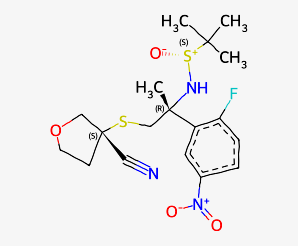 CC(C)(C)[S@@+]([O-])N[C@@](C)(CS[C@]1(C#N)CCOC1)c1cc([N+](=O)[O-])ccc1F